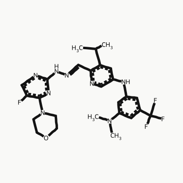 CC(C)c1cc(Nc2cc(N(C)C)cc(C(F)(F)F)c2)cnc1/C=N/Nc1ncc(F)c(N2CCOCC2)n1